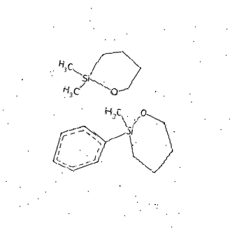 C[Si]1(C)CCCCO1.C[Si]1(c2ccccc2)CCCCO1